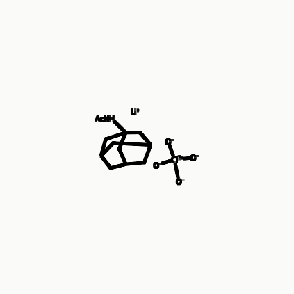 CC(=O)NC12CC3CC(CC(C3)C1)C2.[Li+].[O-][Cl+3]([O-])([O-])[O-]